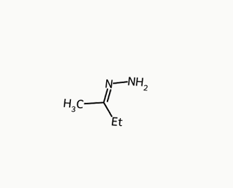 CC/C(C)=N\N